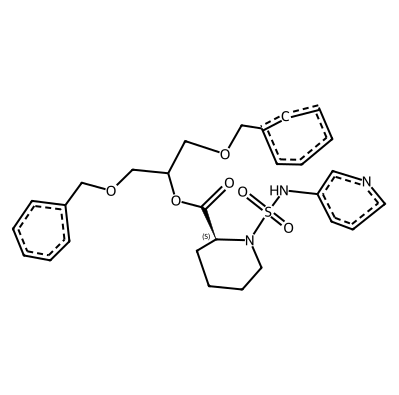 O=C(OC(COCc1ccccc1)COCc1ccccc1)[C@@H]1CCCCN1S(=O)(=O)Nc1cccnc1